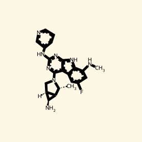 CNc1cc(F)cc2c1[nH]c1nc(Nc3cccnc3)nc(N3C[C@H]4C([C@H]4N)[C@H]3C)c12